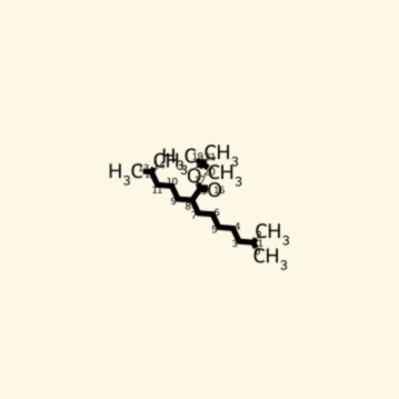 CC(C)CCCCCC(CCCC(C)C)C(=O)OC(C)(C)C